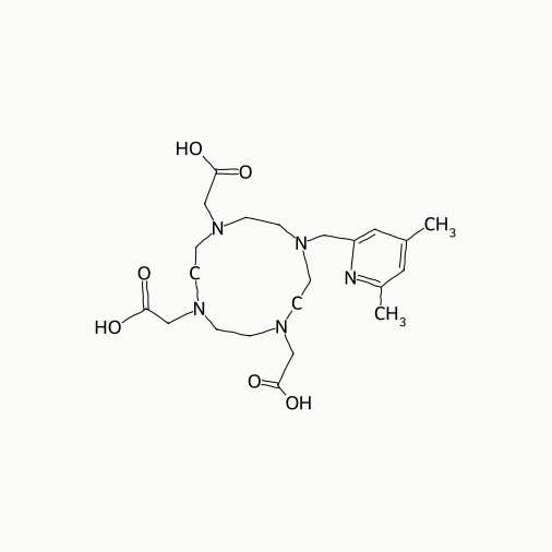 Cc1cc(C)nc(CN2CCN(CC(=O)O)CCN(CC(=O)O)CCN(CC(=O)O)CC2)c1